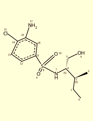 CC[C@H](C)[C@@H](CO)NS(=O)(=O)c1ccc(Cl)c(N)c1